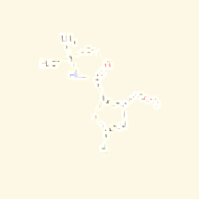 CC(C)(C)NC(=O)c1sc(Cl)cc1C=O